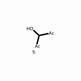 CC(=O)C(O)C(C)=O.[Ti]